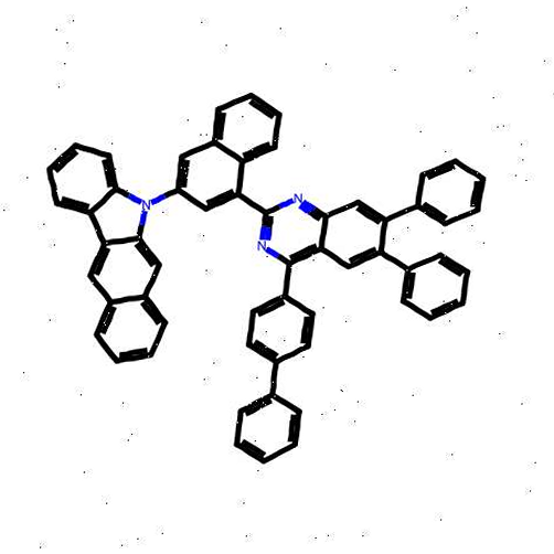 c1ccc(-c2ccc(-c3nc(-c4cc(-n5c6ccccc6c6cc7ccccc7cc65)cc5ccccc45)nc4cc(-c5ccccc5)c(-c5ccccc5)cc34)cc2)cc1